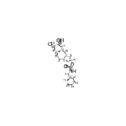 CC(C)(CC1CCCc2cc(Cl)c(O)cc2C1)OC(=O)NCc1ccccc1